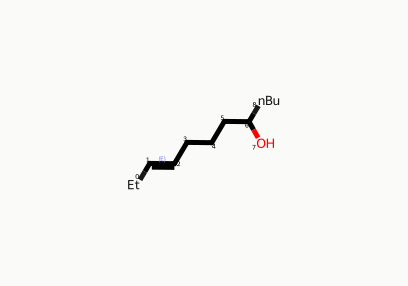 CC/C=C/CCCC(O)CCCC